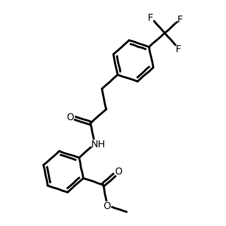 COC(=O)c1ccccc1NC(=O)CCc1ccc(C(F)(F)F)cc1